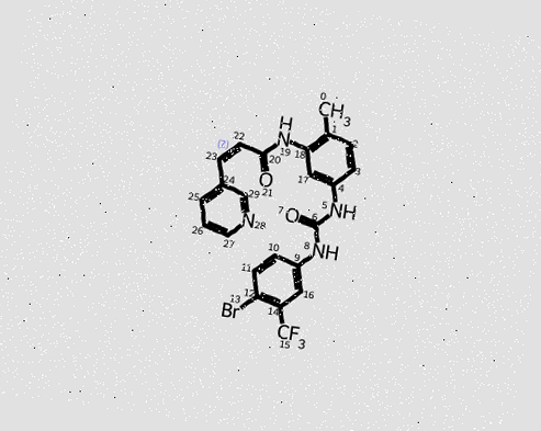 Cc1ccc(NC(=O)Nc2ccc(Br)c(C(F)(F)F)c2)cc1NC(=O)/C=C\c1cccnc1